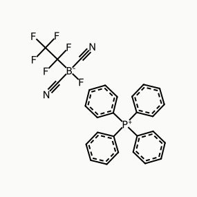 N#C[B-](F)(C#N)C(F)(F)C(F)(F)F.c1ccc([P+](c2ccccc2)(c2ccccc2)c2ccccc2)cc1